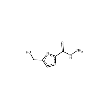 NNC(=O)c1nc(CO)cs1